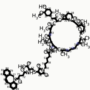 CO[C@H]1C[C@@H]2CC[C@@H](C)[C@@](O)(O2)C(=O)C(=O)N2CCCC[C@H]2C(=O)O[C@H]([C@H](C)C[C@@H]2CC[C@@H](O)[C@H](OC)C2)CC(=O)[C@H](C)/C=C(\C)[C@@H](O)[C@@H](OC)/C(=N/NC(=O)CCCCCN2C(=O)C=C(SCC(NC(=O)CCC(=O)N3Cc4ccccc4C#Cc4ccccc43)C(=O)O)C2=O)[C@H](C)C[C@H](C)/C=C/C=C/C=C/1C